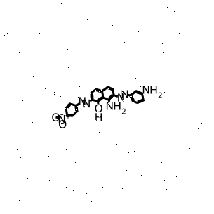 Nc1cccc(N=Nc2ccc3ccc(N=Nc4ccc([N+](=O)[O-])cc4)c(O)c3c2N)c1